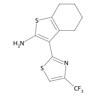 Nc1sc2c(c1-c1nc(C(F)(F)F)cs1)CCCC2